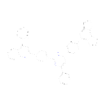 C1=CC2=c3c(oc4ccccc34)=C(c3ccc(C4=NC(c5ccccc5)=CC(c5ccc(-c6cc7c(c8c6C=CC8)CC=C7)cc5)N4)cc3)NC2C=C1